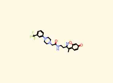 Cc1c2ccc(=O)cc-2onc1CCNC(=O)CN1CCN(c2cccc(C(F)(F)F)c2)CC1